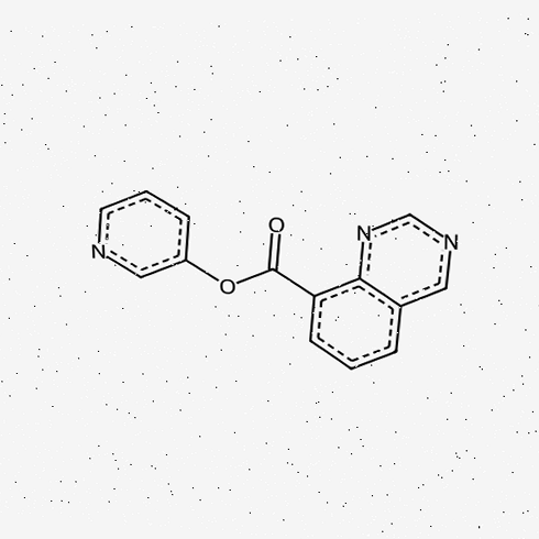 O=C(Oc1cccnc1)c1cccc2cncnc12